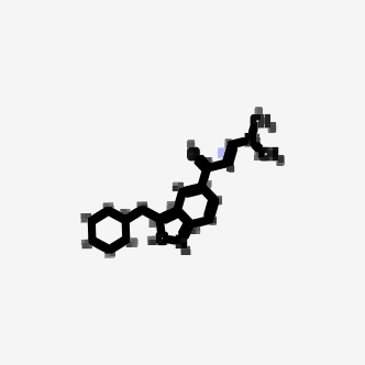 CN(C)/C=C/C(=O)c1ccc2noc(CC3CCCCC3)c2c1